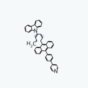 C=C/C=C(\C=C/Cc1c2ccccc2c(-c2ccc(-c3ccncc3)cc2)c2ccccc12)n1c2ccccc2c2ccccc21